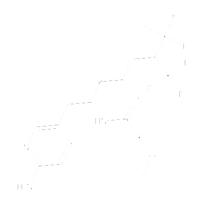 COC(C)(C)C(=O)NC(Cc1ccc(N)nc1)C(=O)COC(C(F)(F)F)C(F)(F)F